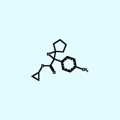 Cc1ccc(C2(C(=O)OC3CC3)OC23CCCC3)cc1